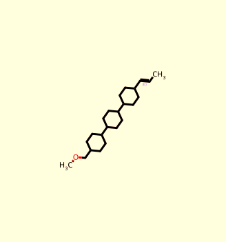 C/C=C/C1CCC(C2CCC(C3CCC(COC)CC3)CC2)CC1